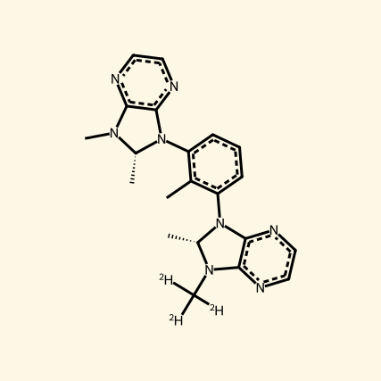 [2H]C([2H])([2H])N1c2nccnc2N(c2cccc(N3c4nccnc4N(C)[C@H]3C)c2C)[C@H]1C